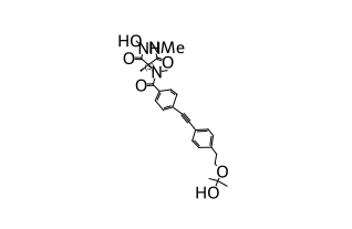 CNC(=O)[C@@](C)(C(=O)NO)N(C)C(=O)c1ccc(C#Cc2ccc(CCOC(C)(C)O)cc2)cc1